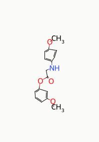 COc1ccc(NCC(=O)Oc2cccc(OC)c2)cc1